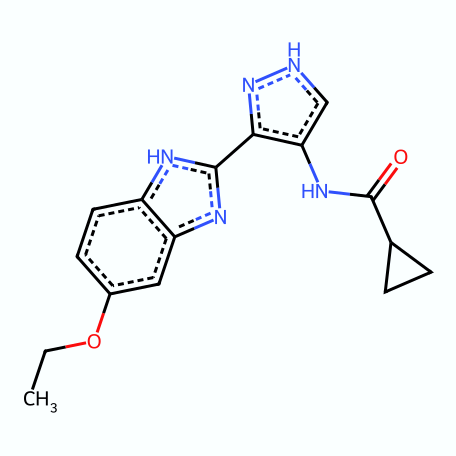 CCOc1ccc2[nH]c(-c3n[nH]cc3NC(=O)C3CC3)nc2c1